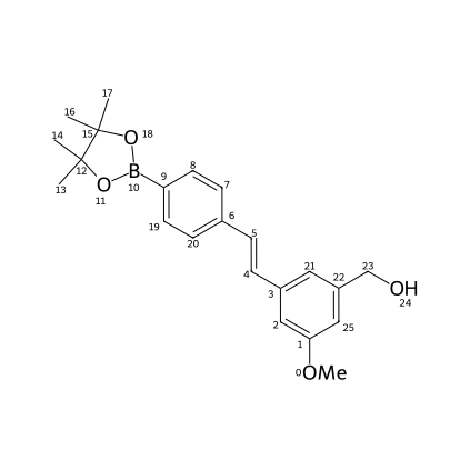 COc1cc(C=Cc2ccc(B3OC(C)(C)C(C)(C)O3)cc2)cc(CO)c1